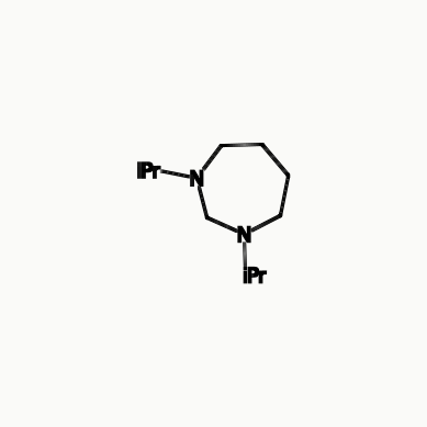 CC(C)N1CCCCN(C(C)C)C1